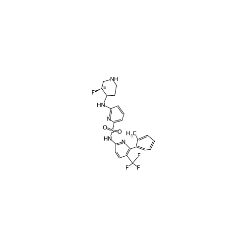 Cc1ccccc1-c1nc(NS(=O)(=O)c2cccc(NC3CCNC[C@@H]3F)n2)ccc1C(F)(F)F